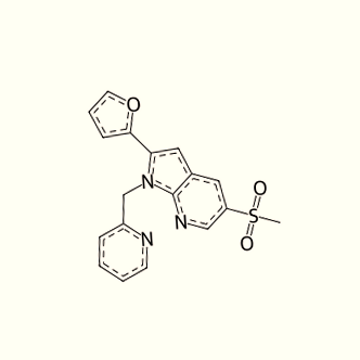 CS(=O)(=O)c1cnc2c(c1)cc(-c1ccco1)n2Cc1ccccn1